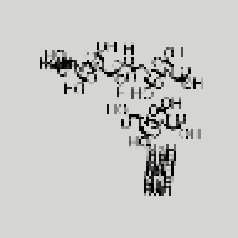 O=C(O)CN(CCN(CC(=O)O)CC(=O)O)CC(=O)O.O=C(O)CN(CCN(CC(=O)O)CC(=O)O)CC(=O)O.O=C(O)CN(CCN(CC(=O)O)CC(=O)O)CC(=O)O.[NaH].[NaH].[NaH].[NaH].[NaH].[NaH].[NaH].[NaH].[NaH].[NaH].[NaH].[NaH]